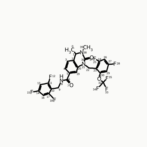 CC1c2ccc(C(=O)NCc3c(F)cc(F)cc3F)cc2N(Cc2c(F)cc(F)cc2OC(F)(F)F)C(=O)N1C